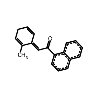 CC1=CCC=CC1=CC(=O)c1cccc2ccccc12